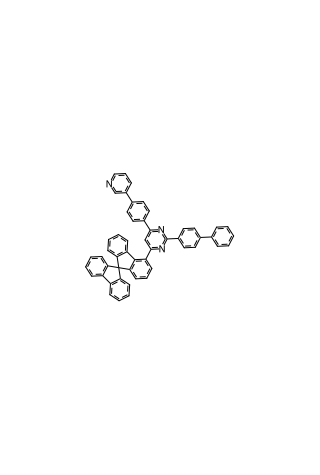 c1ccc(-c2ccc(-c3nc(-c4ccc(-c5cccnc5)cc4)cc(-c4cccc5c4-c4ccccc4C54c5ccccc5-c5ccccc54)n3)cc2)cc1